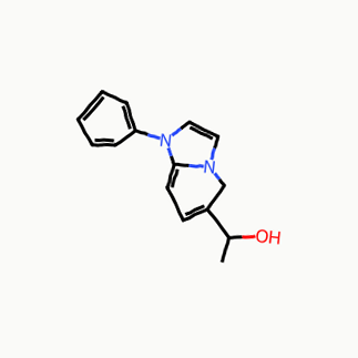 CC(O)C1=CC=C2N(C=CN2c2ccccc2)C1